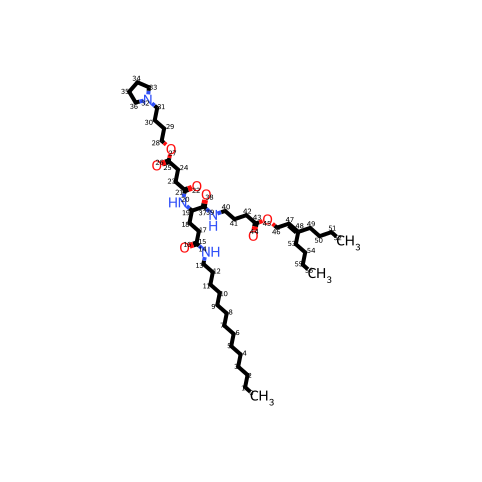 CCCCCCCCCCCCCCNC(=O)CCC(NC(=O)CCC(=O)OCCCCN1CCCC1)C(=O)NCCCC(=O)OCC=C(CCCC)CCCC